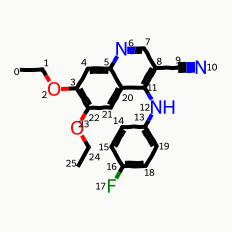 CCOc1cc2ncc(C#N)c(Nc3ccc(F)cc3)c2cc1OCC